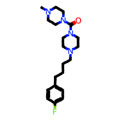 CN1CCN(C(=O)N2CCN(CCCCc3ccc(F)cc3)CC2)CC1